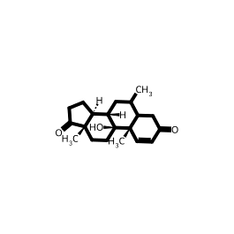 CC1C[C@H]2[C@@H]3CCC(=O)[C@@]3(C)CC[C@@]2(O)[C@@]2(C)C=CC(=O)CC12